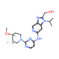 CO[C@H]1CCN(c2nccc(Nc3cc4c(cn3)nc(CO)n4C(C)C)n2)C[C@@H]1F